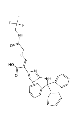 O=C(CON=C(C(=O)O)c1csc(NC(c2ccccc2)(c2ccccc2)c2ccccc2)n1)NCC(F)(F)F